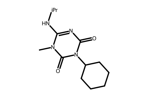 CC(C)Nc1nc(=O)n(C2CCCCC2)c(=O)n1C